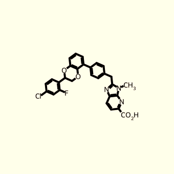 Cn1c(Cc2ccc(-c3cccc4c3OCC(c3ccc(Cl)cc3F)O4)cc2)nc2ccc(C(=O)O)nc21